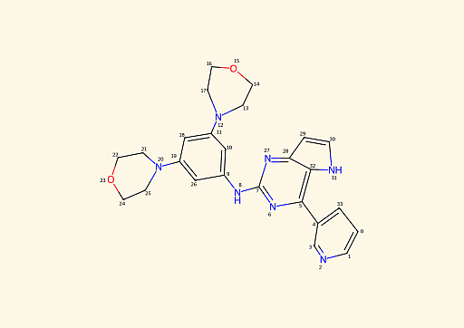 c1cncc(-c2nc(Nc3cc(N4CCOCC4)cc(N4CCOCC4)c3)nc3cc[nH]c23)c1